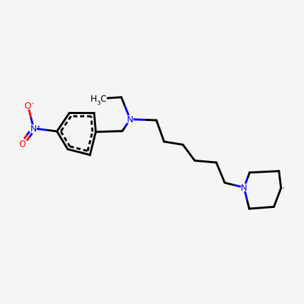 CCN(CCCCCCN1CC[CH]CC1)Cc1ccc([N+](=O)[O-])cc1